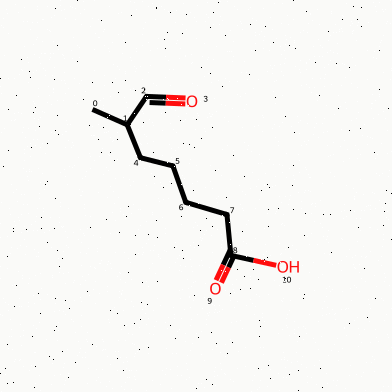 CC(C=O)CCCCC(=O)O